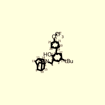 CC(C)(C)c1cc(CNC23CC4CC(CC(C4)C2)C3)c(O)c(-c2ccc(OC(F)(F)F)cc2)c1